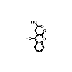 O=C(O)Cc1c(O)c2ccccc2oc1=O